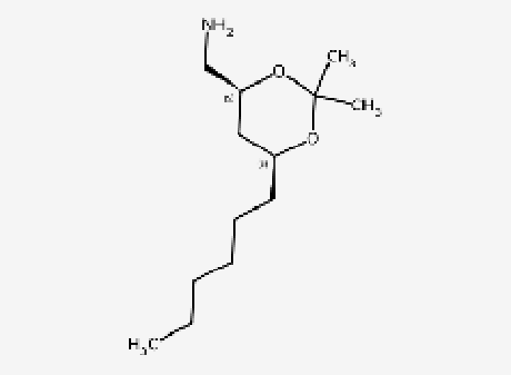 CCCCCC[C@H]1C[C@@H](CN)OC(C)(C)O1